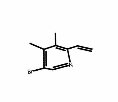 C=Cc1ncc(Br)c(C)c1C